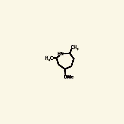 COC1CCC(C)NC(C)C1